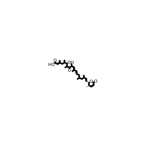 CC(/C=C/CC(C)CC(C)/C=C/[C@@H]1OC(=O)C=C[C@@H]1C)=C\C(C)C(=O)C(C)C(O)C(C)C/C(C)=C/C(=O)O